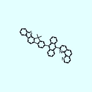 CC1(C)c2cc(-c3c4ccccc4c(-c4ccc5ccc6cccnc6c5n4)c4ccccc34)ccc2-c2ccc3c(sc4ccccc43)c21